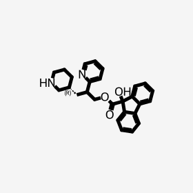 O=C(OCC(C[C@H]1CCCNC1)c1ccccn1)C1(O)c2ccccc2-c2ccccc21